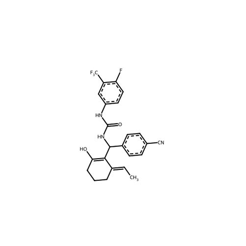 CC=C1CCCC(O)=C1C(NC(=O)Nc1ccc(F)c(C(F)(F)F)c1)c1ccc(C#N)cc1